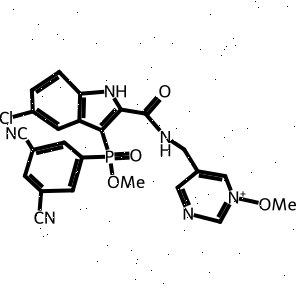 CO[n+]1cncc(CNC(=O)c2[nH]c3ccc(Cl)cc3c2P(=O)(OC)c2cc(C#N)cc(C#N)c2)c1